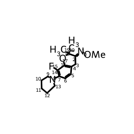 CON=C1Cc2ccc(N3CCCCC3)c(F)c2OC1(C)C